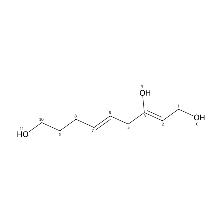 OCC=C(O)CC=CCCCO